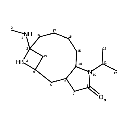 CNC12BC(CC3CC(=O)N(C(C)C)C3CCCC1)C2